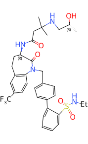 CCNS(=O)(=O)c1ccccc1-c1ccc(CN2C(=O)[C@H](NC(=O)CC(C)(C)NC[C@@H](C)O)CCc3cc(C(F)(F)F)ccc32)cc1